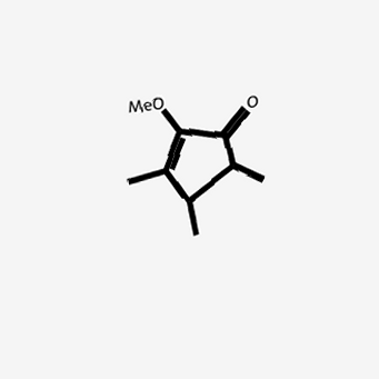 COC1=C(C)C(C)C(C)C1=O